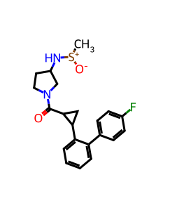 C[S+]([O-])NC1CCN(C(=O)C2CC2c2ccccc2-c2ccc(F)cc2)C1